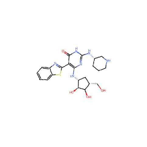 O=c1[nH]c(N[C@H]2CCCNC2)nc(N[C@@H]2C[C@H](CO)[C@@H](O)[C@H]2O)c1-c1nc2ccccc2s1